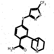 NC(=O)c1ccc(Sc2cc(C(F)(F)F)sn2)cc1C1CN2CCC1CC2